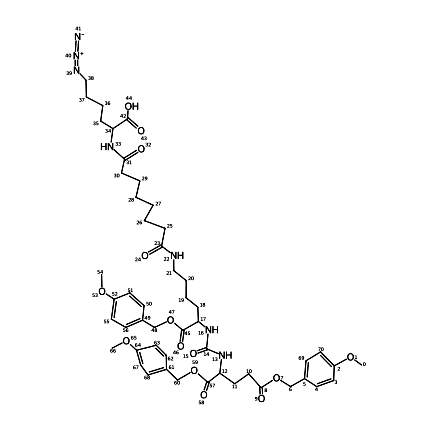 COc1ccc(COC(=O)CCC(NC(=O)NC(CCCCNC(=O)CCCCCCC(=O)NC(CCCCN=[N+]=[N-])C(=O)O)C(=O)OCc2ccc(OC)cc2)C(=O)OCc2ccc(OC)cc2)cc1